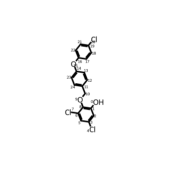 Oc1cc(Cl)cc(Cl)c1OCc1ccc(Oc2ccc(Cl)cc2)cc1